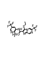 CCSc1c(C(=O)Nc2cc(C(F)(F)F)cnc2NC)nc2cnc(C(F)(F)F)cn12